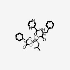 CC(C)C[C@H](NC(=O)[C@H](Cc1ccccc1)NC(=O)c1cnccn1)B1OC(=O)[C@@H](c2ccccc2)O1